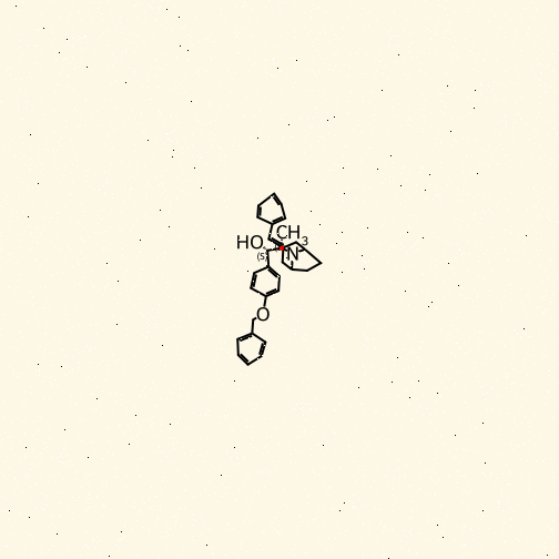 C[C@@H]([C@@H](O)c1ccc(OCc2ccccc2)cc1)N1C2CCC1CC(=Cc1ccccc1)C2